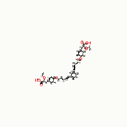 CCOC(Cc1ccc(OCC=CC#Cc2cccc(C#CC=CCOc3ccc(CC(OCC)C(=O)O)cc3)c2)cc1)C(=O)O